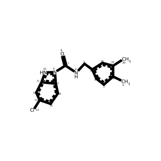 Cc1ccc(CNC(=O)n2[nH]c3cc(Cl)ccc32)cc1C